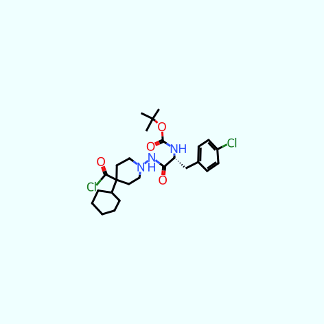 CC(C)(C)OC(=O)N[C@H](Cc1ccc(Cl)cc1)C(=O)NN1CCC(C(=O)Cl)(C2CCCCC2)CC1